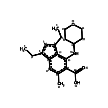 CCc1nn(CC)c2nc(C)c(C(=O)O)c(NC3CCOCC3)c12